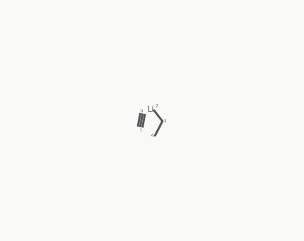 C#C.[Li][CH2]C